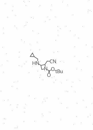 CC(C)(C)OC(=O)N1CC(NCC2CC2)C1CC#N